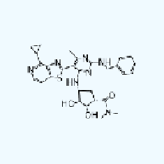 Cc1nc(NCc2ccccc2)nc(N[C@@H]2C[C@H](C(=O)N(C)C)[C@@H](O)[C@H]2O)c1-c1nc2c(C3CC3)nccc2s1